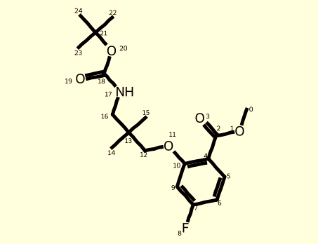 COC(=O)c1ccc(F)cc1OCC(C)(C)CNC(=O)OC(C)(C)C